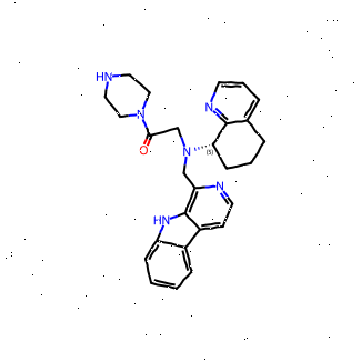 O=C(CN(Cc1nccc2c1[nH]c1ccccc12)[C@H]1CCCc2cccnc21)N1CCNCC1